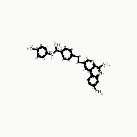 Cc1ccc2c(c1)nc(N)c1ncc(CCc3ccc(C(C)Nc4ccc(O)cc4)cc3)cc12